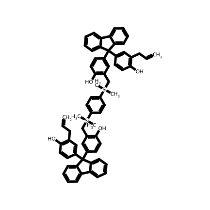 C=CCc1cc(C2(c3ccc(O)c(C[Si](C)(C)c4ccc([Si](C)(C)Cc5cc(C6(c7ccc(O)c(CC=C)c7)c7ccccc7-c7ccccc76)ccc5O)cc4)c3)c3ccccc3-c3ccccc32)ccc1O